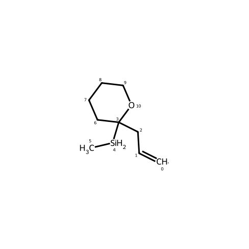 [CH]=CCC1([SiH2]C)CCCCO1